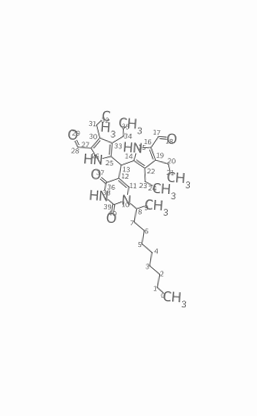 CCCCCCCCC(C)n1cc(C(c2[nH]c(C=O)c(CC)c2CC)c2[nH]c(C=O)c(CC)c2CC)c(=O)[nH]c1=O